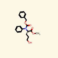 COC(=O)[C@@H](CCCO)N(C(=O)OCc1ccccc1)c1ccccc1